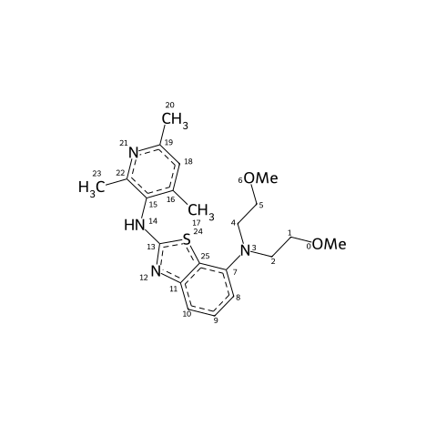 COCCN(CCOC)c1cccc2nc(Nc3c(C)cc(C)nc3C)sc12